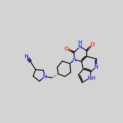 N#CC1CCN(C[C@H]2CC[C@H](n3c(=O)[nH]c(=O)c4cnc5[nH]ccc5c43)CC2)C1